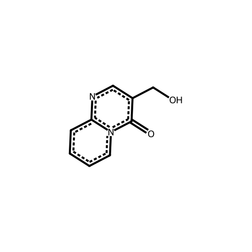 O=c1c(CO)cnc2ccccn12